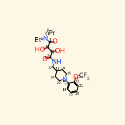 CCCN(CC)C(=O)[C@H](O)[C@@H](O)C(=O)NCC1CCN(c2ccccc2OC(F)(F)F)CC1